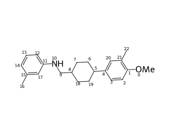 COc1ccc(C2CCC(CNc3cccc(C)c3)CC2)cc1C